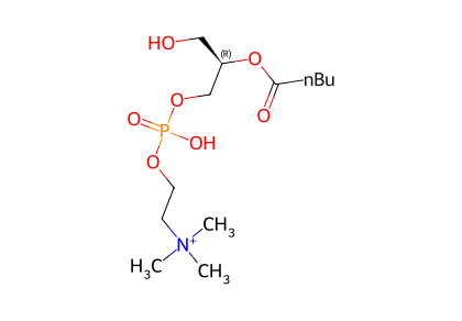 CCCCC(=O)O[C@H](CO)COP(=O)(O)OCC[N+](C)(C)C